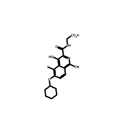 N#Cc1nc(C(=O)NCC(=O)O)c(O)c2c(I)c(OC3CCCCC3)ccc12